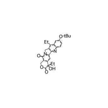 CCc1c2c(nc3ccc(OC(C)(C)C)cc13)-c1cc3c(c(=O)n1C2)COC(=O)[C@]3(O)CC